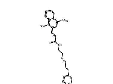 CCCCc1c(/C=C/C(=O)NCCCCCCc2cncnc2)cc(OC)c2ccccc12